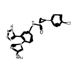 CC(C)(C)c1cn(-c2ccc(NC(=O)[C@@H]3C[C@H]3c3ccc(Cl)cc3)cc2-c2nnn[nH]2)cn1